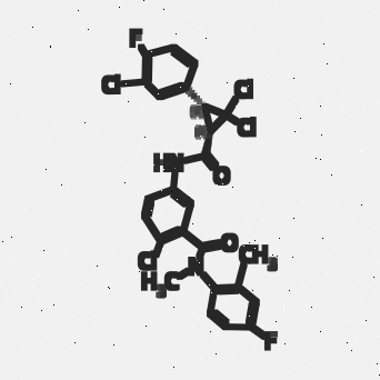 Cc1cc(F)ccc1N(C)C(=O)c1cc(NC(=O)[C@H]2[C@H](c3ccc(F)c(Cl)c3)C2(Cl)Cl)ccc1Cl